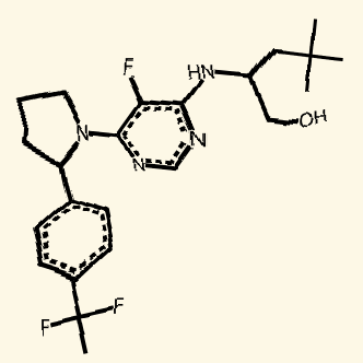 CC(C)(C)CC(CO)Nc1ncnc(N2CCCC2c2ccc(C(C)(F)F)cc2)c1F